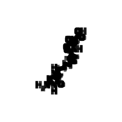 Nc1nc2[nH]c(CCCCc3cc(C(=O)NC(CCC(=O)O)C(=O)O)cs3)cc2c(=O)[nH]1